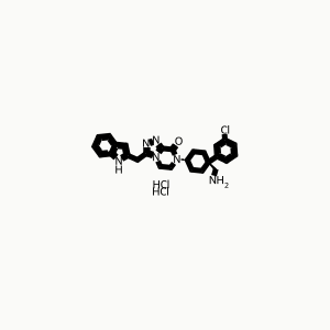 Cl.Cl.NC[C@]1(c2cccc(Cl)c2)CC[C@@H](N2CCn3c(Cc4cc5ccccc5[nH]4)nnc3C2=O)CC1